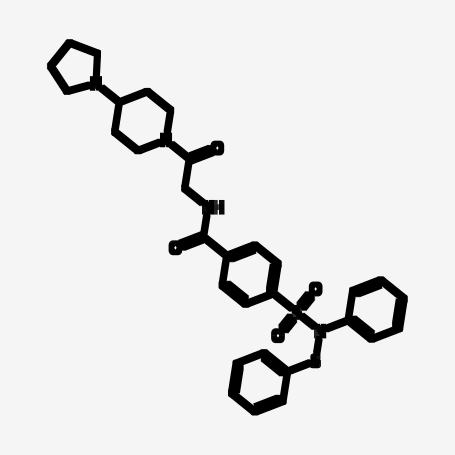 O=C(NCC(=O)N1CCC(N2CCCC2)CC1)c1ccc(S(=O)(=O)N(Sc2ccccc2)c2ccccc2)cc1